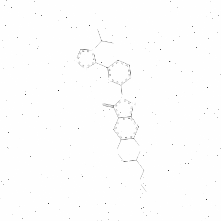 COCC1COc2cc3c(=O)n(-c4cccc(-c5nncn5C(C)C)n4)[nH]c3cc2O1